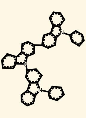 c1ccc(-n2c3ccccc3c3cc(-c4ccc5c6ccccc6n(-c6ccc7c(c6)c6ccccc6n7-c6ccccc6)c5c4)ccc32)cc1